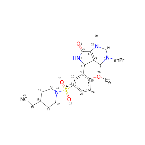 CCCN1CC2=C(C(=O)NC2c2cc(S(=O)(=O)N3CCC(CC#N)CC3)ccc2OCC)N(C)C1